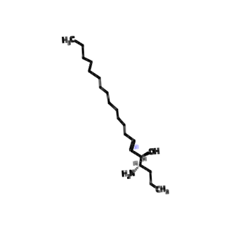 CCCCCCCCCCCCC/C=C/[C@@H](O)[C@@H](N)CCC